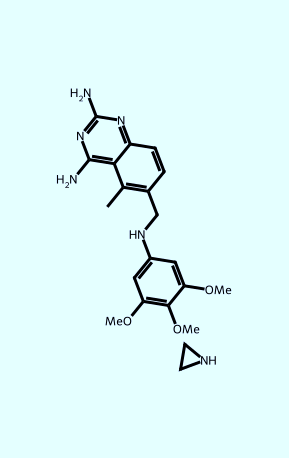 C1CN1.COc1cc(NCc2ccc3nc(N)nc(N)c3c2C)cc(OC)c1OC